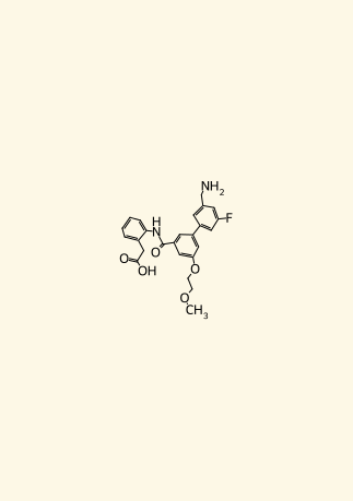 COCCOc1cc(C(=O)Nc2ccccc2CC(=O)O)cc(-c2cc(F)cc(CN)c2)c1